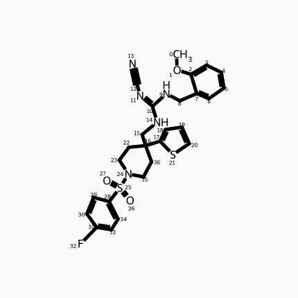 COc1ccccc1CN/C(=N\C#N)NCC1(c2cccs2)CCN(S(=O)(=O)c2ccc(F)cc2)CC1